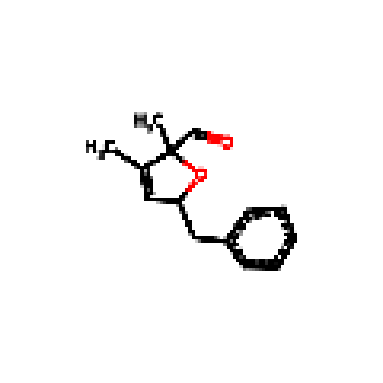 CC1=CC(Cc2ccccc2)OC1(C)C=O